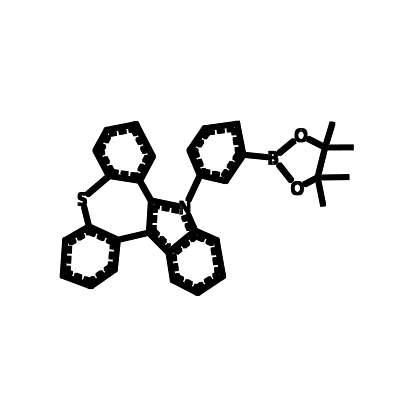 CC1(C)OB(c2cccc(-n3c4c(c5ccccc53)-c3ccccc3Sc3ccccc3-4)c2)OC1(C)C